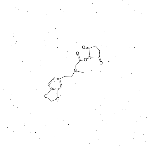 CN(CCc1ccc2c(c1)OCO2)CC(=O)ON1C(=O)CCC1=O